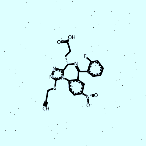 C#CCSc1nnc2n1-c1ccc([N+](=O)[O-])cc1C(c1ccccc1F)=N[C@H]2CCC(=O)O